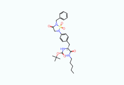 CCCCCNC(=O)[C@H](Cc1ccc(N2CC(=O)N(Cc3ccccc3)S2(=O)=O)cc1)NC(=O)OC(C)(C)C